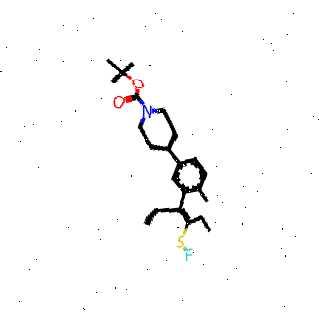 CC/C(SF)=C(/CC)c1cc(C2CCN(C(=O)OC(C)(C)C)CC2)ccc1C